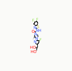 C[C@@H]1CN(C(=O)Nc2nc3cc(F)c(F)cc3s2)CCN1c1ncc(C[C@@H](O)CO)cc1F